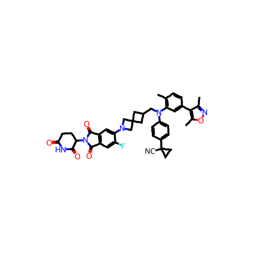 Cc1ccc(-c2c(C)noc2C)cc1N(CC1CC2(C1)CN(c1cc3c(cc1F)C(=O)N(C1CCC(=O)NC1=O)C3=O)C2)c1ccc(C2(C#N)CC2)cc1